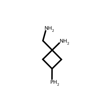 NCC1(N)CC(P)C1